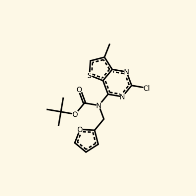 Cc1csc2c(N(Cc3ccco3)C(=O)OC(C)(C)C)nc(Cl)nc12